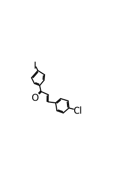 O=C(C=Cc1ccc(Cl)cc1)c1ccc(I)cc1